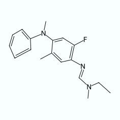 CCN(C)C=Nc1cc(C)c(N(C)c2ccccc2)cc1F